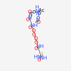 C=CC(=O)N1CCC(c2ccc(C(C)=O)c(Nc3ccc(C(=O)N4CCN(C(=O)CCCCNC(=O)CCOCCOCCOCCOCCNC(=O)CCCCC5SCC6NC(=O)NC65)CC4)cc3)n2)CC1